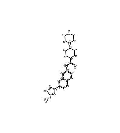 Cn1cc(-c2ccc3cnc(NC(=O)C4CCC(N5CCOCC5)CC4)cc3c2)cn1